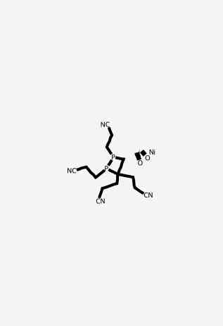 N#CCCP1CC(CCC#N)(CCC#N)P1CCC#N.[C]=O.[C]=O.[Ni]